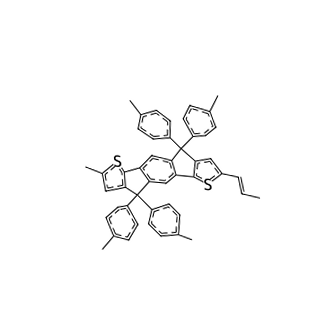 C/C=C/c1cc2c(s1)-c1cc3c(cc1C2(c1ccc(C)cc1)c1ccc(C)cc1)-c1sc(C)cc1C3(c1ccc(C)cc1)c1ccc(C)cc1